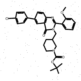 COc1ccccc1-c1nc2ccc(-c3ccc(Cl)cc3)cc2c(=O)n1CC1CCCN(C(=O)OC(C)(C)C)C1